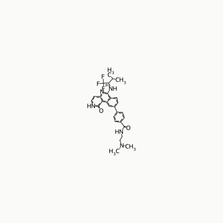 CC(C)[C@@H](Nc1nc2cc[nH]c(=O)c2c2cc(-c3ccc(C(=O)NCCN(C)C)cc3)ccc12)C(F)(F)F